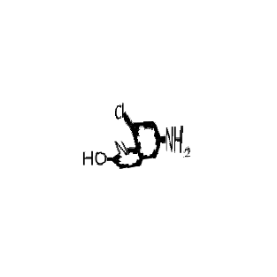 Nc1cc(Cl)c2nc(O)ccc2c1